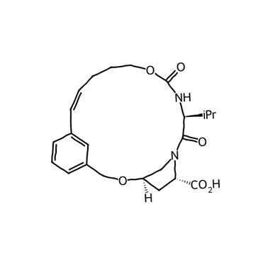 CC(C)[C@@H]1NC(=O)OCCCC=Cc2cccc(c2)CO[C@@H]2C[C@@H](C(=O)O)N(C2)C1=O